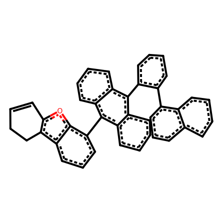 C1=Cc2oc3c(-c4c5ccccc5c(-c5ccccc5-c5cccc6ccccc56)c5ccccc45)cccc3c2CC1